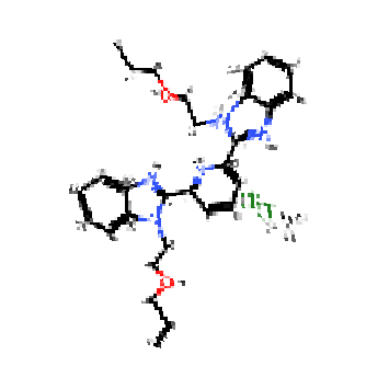 CCCOCCn1c(-c2cccc(-c3nc4ccccc4n3CCOCCC)n2)nc2ccccc21.[Cl-].[Cl-].[V+2]